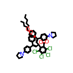 CCCCCOc1ccc(C(=CC2(C=C(c3ccc(OCCCCC)cc3)c3ccc(N4CCCC4)cc3)OC(=O)c3c(Cl)c(Cl)c(Cl)c(Cl)c32)c2ccc(N3CCCC3)cc2)cc1